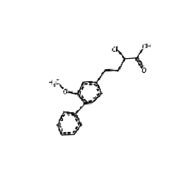 COc1cc(CCC(Cl)C(=O)O)ccc1-c1ccccc1